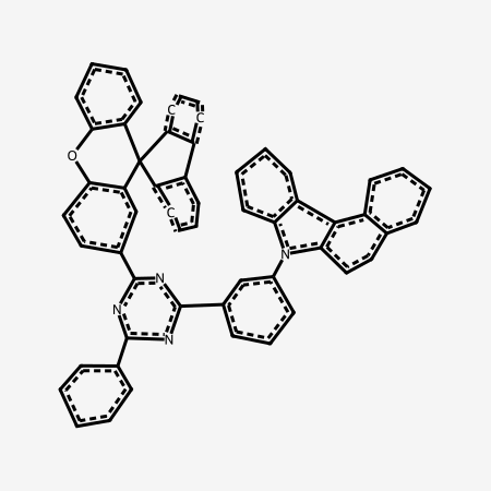 c1ccc(-c2nc(-c3cccc(-n4c5ccccc5c5c6ccccc6ccc54)c3)nc(-c3ccc4c(c3)C3(c5ccccc5O4)c4ccccc4-c4ccccc43)n2)cc1